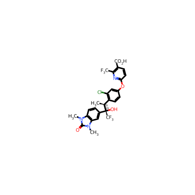 C[C@@H](c1ccc(Oc2ccc(C(=O)O)c(C(F)(F)F)n2)cc1Cl)[C@](O)(c1ccc2c(c1)n(C)c(=O)n2C)C(F)(F)F